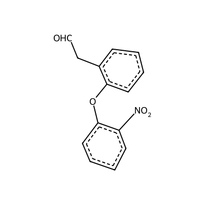 O=CCc1ccccc1Oc1ccccc1[N+](=O)[O-]